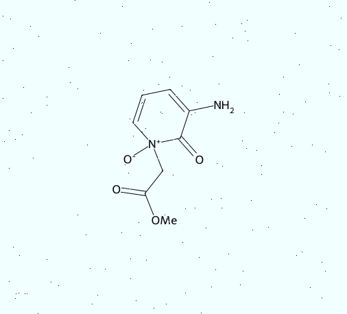 COC(=O)C[N+]1([O-])C=CC=C(N)C1=O